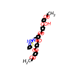 C=CC(=O)Oc1ccc(OC(=O)C2CCC(C(=O)Oc3ccc(OC(=O)C4CCC(C(O)Oc5ccc(OC(=O)C=C)cc5)CC4)cc3/C=N/Nc3nc4ccccc4s3)CC2)cc1